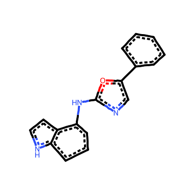 c1ccc(-c2cnc(Nc3cccc4[nH]ccc34)o2)cc1